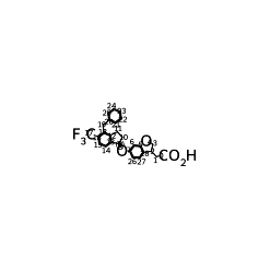 O=C(O)CC1COc2cc(O[C@@H]3CCc4c3ccc(C(F)(F)F)c4Cc3ccccc3)ccc21